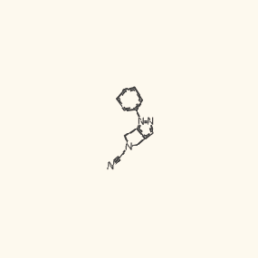 N#CN1Cc2cnn(-c3ccccc3)c2C1